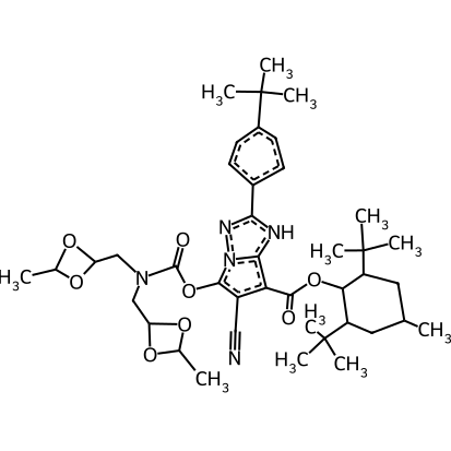 CC1CC(C(C)(C)C)C(OC(=O)c2c(C#N)c(OC(=O)N(CC3OC(C)O3)CC3OC(C)O3)n3nc(-c4ccc(C(C)(C)C)cc4)[nH]c23)C(C(C)(C)C)C1